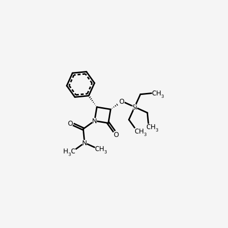 CC[Si](CC)(CC)O[C@@H]1C(=O)N(C(=O)N(C)C)[C@@H]1c1ccccc1